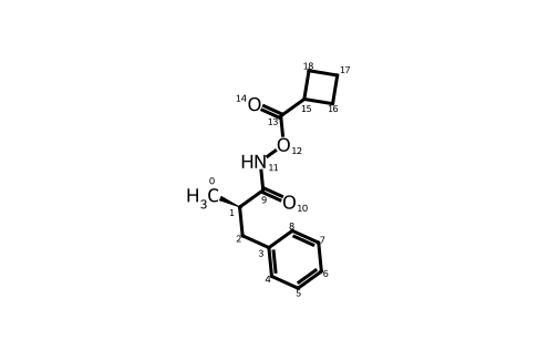 C[C@H](Cc1ccccc1)C(=O)NOC(=O)C1CCC1